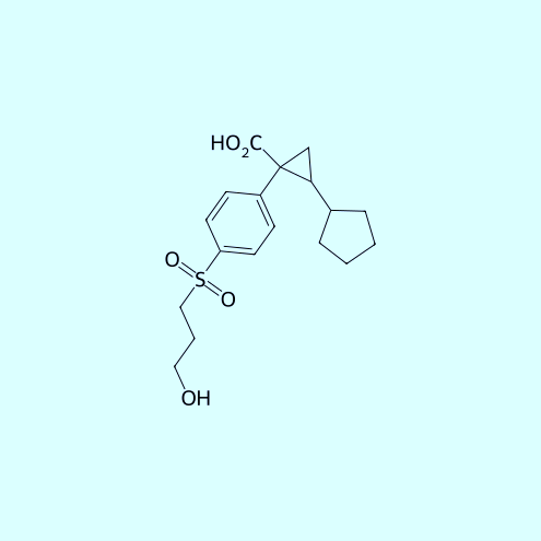 O=C(O)C1(c2ccc(S(=O)(=O)CCCO)cc2)CC1C1CCCC1